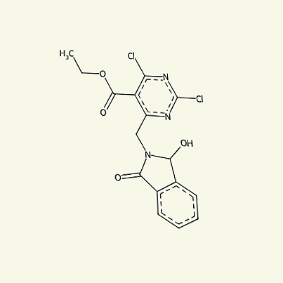 CCOC(=O)c1c(Cl)nc(Cl)nc1CN1C(=O)c2ccccc2C1O